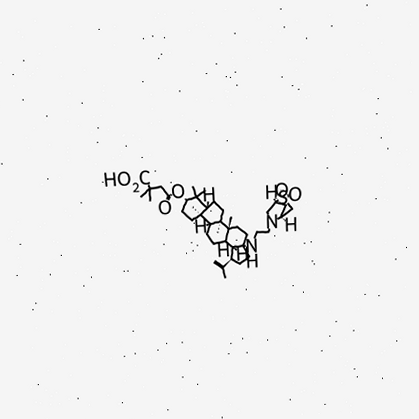 C=C(C)[C@@H]1CC[C@]2(NCCN3C[C@@H]4C[C@H]3CS4(=O)=O)CC[C@]3(C)[C@H](CC[C@@H]4[C@@]5(C)CC[C@H](OC(=O)CC(C)(C)C(=O)O)C(C)(C)[C@@H]5CC[C@]43C)[C@@H]12